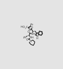 CC(C)C[C@H](NC(=O)N1CCCCCC1)C(=O)N[C@H](Cc1c[nH]c2ccccc12)c1nc(C(=O)O)c(C(C)C)o1